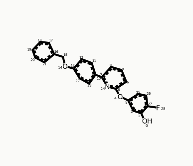 Oc1cc(Oc2cccc(-c3ccc(OCc4ccccc4)cc3)n2)ccc1F